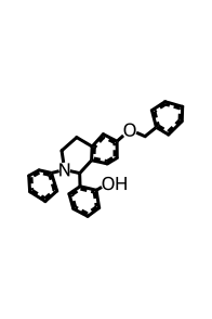 Oc1ccccc1C1c2ccc(OCc3ccccc3)cc2CCN1c1ccccc1